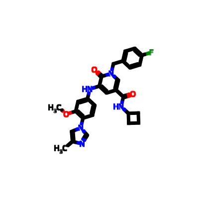 COc1cc(Nc2cc(C(=O)NC3CCC3)cn(Cc3ccc(F)cc3)c2=O)ccc1-n1cnc(C)c1